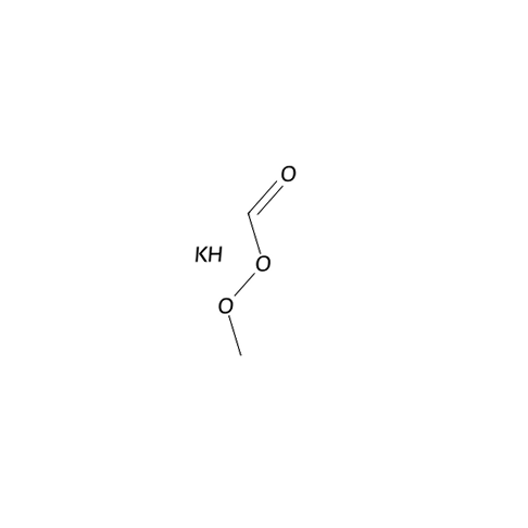 COOC=O.[KH]